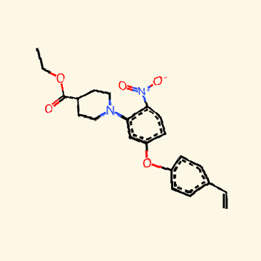 C=Cc1ccc(Oc2ccc([N+](=O)[O-])c(N3CCC(C(=O)OCC)CC3)c2)cc1